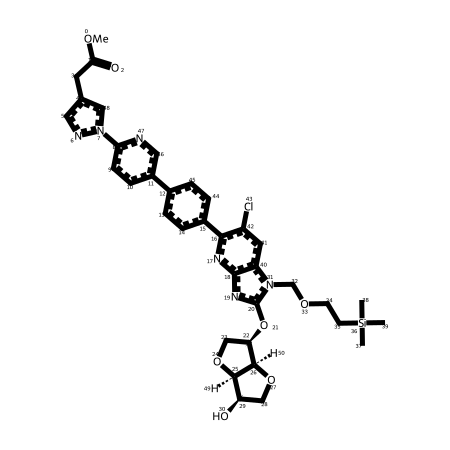 COC(=O)Cc1cnn(-c2ccc(-c3ccc(-c4nc5nc(O[C@@H]6CO[C@H]7[C@@H]6OC[C@H]7O)n(COCC[Si](C)(C)C)c5cc4Cl)cc3)cn2)c1